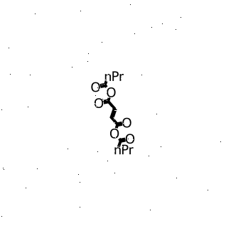 CCCC(=O)OC(=O)/C=C/C(=O)OC(=O)CCC